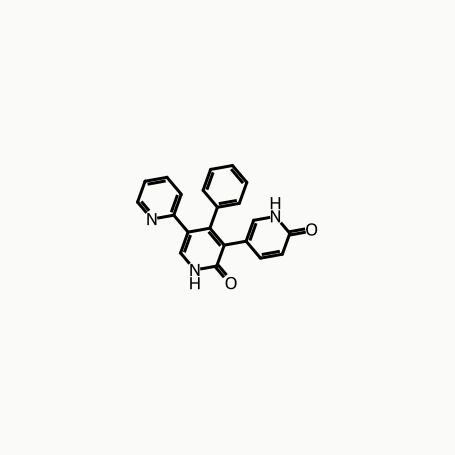 O=c1ccc(-c2c(-c3ccccc3)c(-c3ccccn3)c[nH]c2=O)c[nH]1